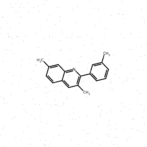 Cc1cccc(-c2nc3cc(C)ccc3cc2C)c1